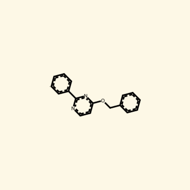 [c]1cccc(-c2nccc(OCc3ccccc3)n2)c1